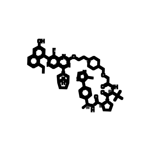 CCc1cccc2cc(O)cc(-c3ncc4c(N5CC6CCC(C5)N6)nc(OCCN5CCC(COCC(=O)N[C@H](C(=O)N6CCC[C@H]6C(=O)N[C@@H](C)c6ccc(-c7scnc7C)cc6)C(C)(C)C)CC5)nc4c3F)c12